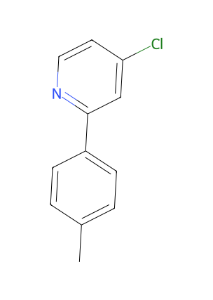 Cc1ccc(-c2cc(Cl)ccn2)cc1